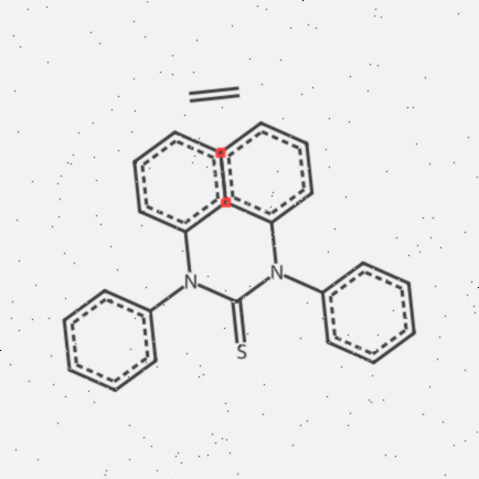 C=C.S=C(N(c1ccccc1)c1ccccc1)N(c1ccccc1)c1ccccc1